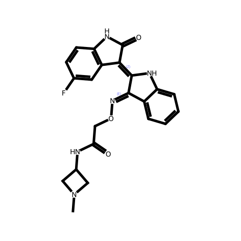 CN1CC(NC(=O)CO/N=C2/C(=C3/C(=O)Nc4ccc(F)cc43)Nc3ccccc32)C1